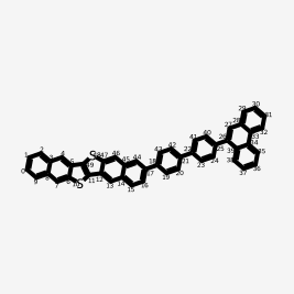 c1ccc2cc3c(cc2c1)sc1c2cc4ccc(-c5ccc(-c6ccc(-c7cc8ccccc8c8ccccc78)cc6)cc5)cc4cc2sc31